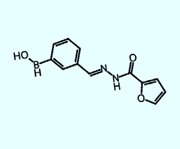 O=C(N/N=C/c1cccc(BO)c1)c1ccco1